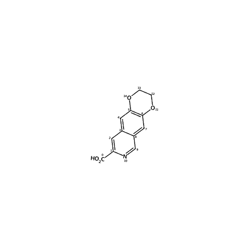 O=C(O)c1cc2cc3c(cc2cn1)OCCO3